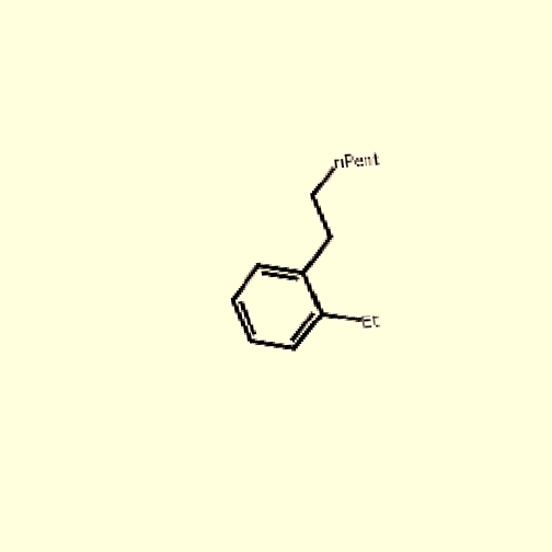 [CH2]Cc1ccccc1CCCCCCC